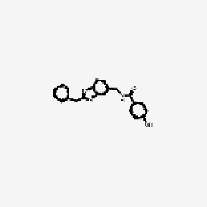 O=C(NCc1ccc2oc(Cc3ccccc3)nc2c1)c1ccc(O)cc1